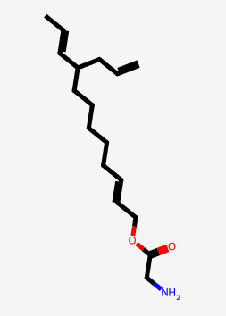 C=CCC(/C=C/C)CCCCCC=CCOC(=O)CN